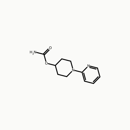 NC(=O)OC1CCN(c2ccccn2)CC1